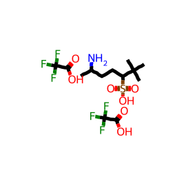 CC(N)CCC(C(C)(C)C)S(=O)(=O)O.O=C(O)C(F)(F)F.O=C(O)C(F)(F)F